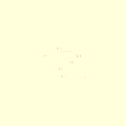 CCCCCCCCN.O=CC(O)C(O)C(O)C(O)CO